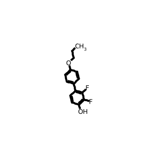 CCCOc1ccc(-c2ccc(O)c(F)c2F)cc1